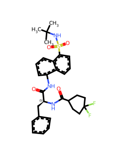 CC(C)(C)NS(=O)(=O)c1cccc2c(NC(=O)[C@H](Cc3ccccc3)NC(=O)C3CCC(F)(F)CC3)cccc12